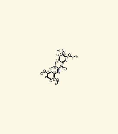 CCOc1cc(C(=O)/C(=C/c2cc(OC)ccc2OC)C(C)C)ccc1N